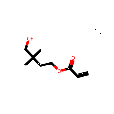 C=CC(=O)OCCC(C)(C)CO